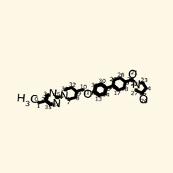 CCc1cnc(N2CCC(COc3ccc(C4=CCC(C(=O)N5CCC(=O)C5)CC4)cc3)CC2)nc1